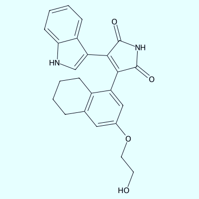 O=C1NC(=O)C(c2c[nH]c3ccccc23)=C1c1cc(OCCO)cc2c1CCCC2